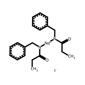 CCC(=O)[N](Cc1ccccc1)[Nd+][N](Cc1ccccc1)C(=O)CC.[I-]